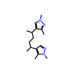 Cc1nn(C)cc1C(C)CCC(C)c1cnn(C)c1C